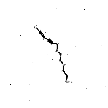 CCC#CC#CCOCCOCCNC